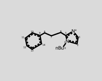 CCCCn1ccnc1CCCc1ccccc1